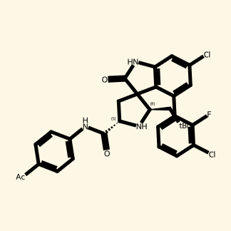 CC(=O)c1ccc(NC(=O)[C@@H]2CC3(C(=O)Nc4cc(Cl)cc(-c5cccc(Cl)c5F)c43)[C@@H](CC(C)(C)C)N2)cc1